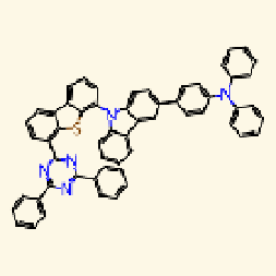 c1ccc(-c2nc(-c3ccccc3)nc(-c3cccc4c3sc3c(-n5c6ccccc6c6cc(-c7ccc(N(c8ccccc8)c8ccccc8)cc7)ccc65)cccc34)n2)cc1